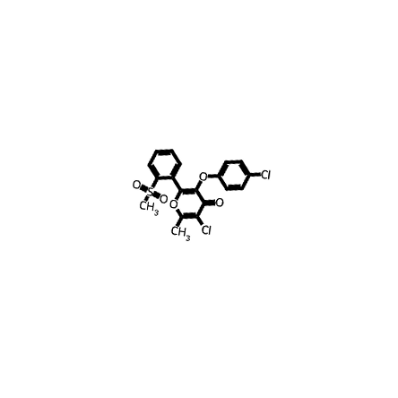 Cc1oc(-c2ccccc2S(C)(=O)=O)c(Oc2ccc(Cl)cc2)c(=O)c1Cl